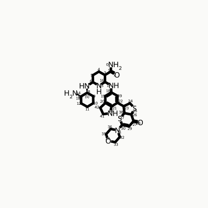 NC(=O)C1CCC(N[C@H]2CCCC[C@H]2N)NC1Nc1cc2c(c(C3CSC4C(=O)C=C(N5CCOCC5)SC43)c1)NCC2